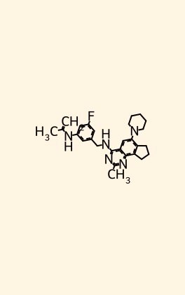 C=C(C)Nc1cc(F)cc(CNc2nc(C)nc3c4c(c(N5CCCCC5)cc23)CCC4)c1